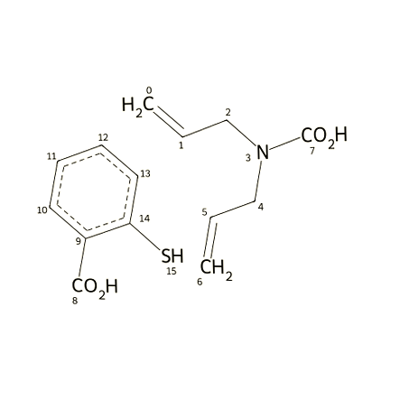 C=CCN(CC=C)C(=O)O.O=C(O)c1ccccc1S